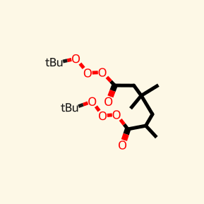 CC(CC(C)(C)CC(=O)OOOC(C)(C)C)C(=O)OOOC(C)(C)C